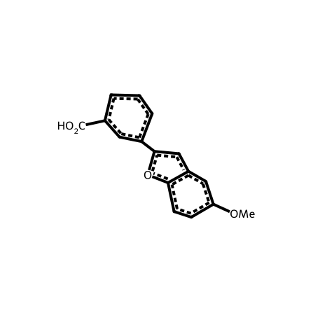 COc1ccc2oc(-c3cccc(C(=O)O)c3)cc2c1